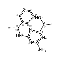 C[C@@H](O)c1nc(N)nc(N[C@H](C)c2ccccc2)n1